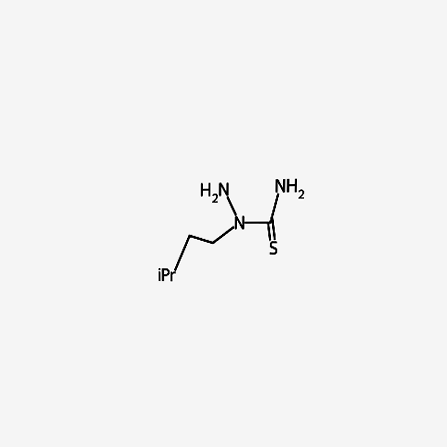 CC(C)CCN(N)C(N)=S